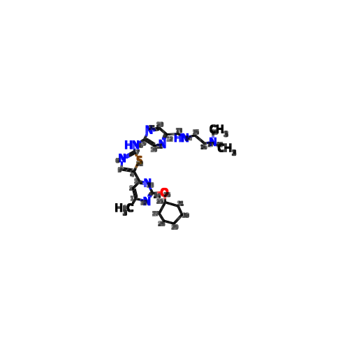 Cc1cc(-c2cnc(Nc3cnc(CNCCN(C)C)cn3)s2)nc(OC2CCCCC2)n1